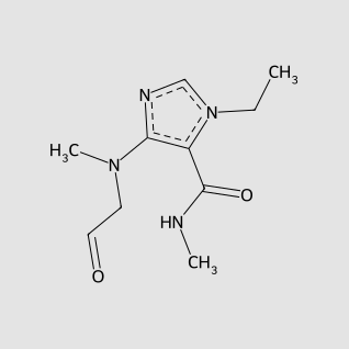 CCn1cnc(N(C)CC=O)c1C(=O)NC